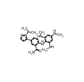 CNc1cc(NC)c(Nc2ccc(-c3ccnn3C(C)C)cc2C(N)=O)c(NC)c1